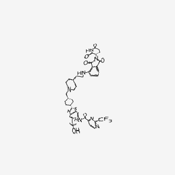 CC(C)(O)c1cc2nc([C@H]3CC[C@H](CN4CCC(CCNc5cccc6c5C(=O)N(C5CCC(=O)NC5=O)C6=O)CC4)CC3)sc2cc1NC(=O)c1ccnc(C(F)(F)F)n1